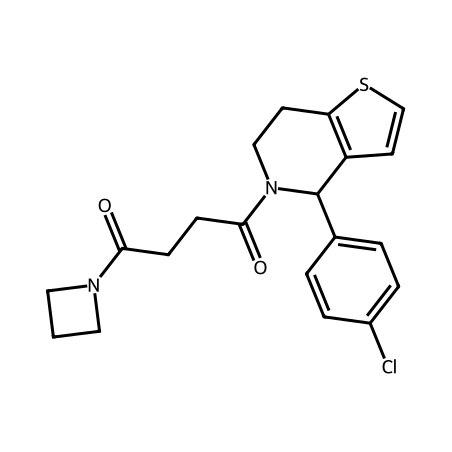 O=C(CCC(=O)N1CCc2sccc2C1c1ccc(Cl)cc1)N1CCC1